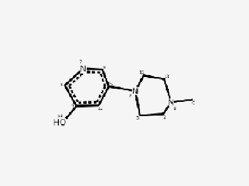 CN1CCN(c2cncc(O)c2)CC1